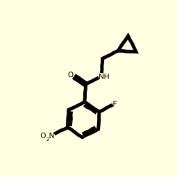 O=C(NCC1CC1)c1cc([N+](=O)[O-])ccc1F